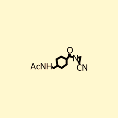 CC(=O)NCC1CCC(C(=O)N2CC2C#N)CC1